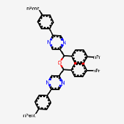 CCCCCc1ccc(-c2cnc(C(OC(c3ccc(CCC)cc3)c3cnc(-c4ccc(CCCCC)cc4)cn3)c3ccc(CCC)cc3)cn2)cc1